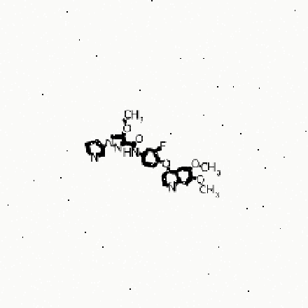 CCOc1cn(-c2cccnc2)nc1C(=O)Nc1ccc(Oc2ccnc3cc(OC)c(OC)cc23)c(F)c1